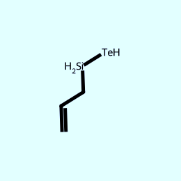 C=CC[SiH2][TeH]